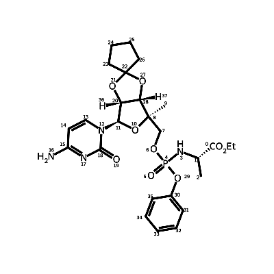 CCOC(=O)[C@H](C)NP(=O)(OC[C@@]1(C)O[C@@H](n2ccc(N)nc2=O)[C@@H]2OC3(CCCC3)O[C@@H]21)Oc1ccccc1